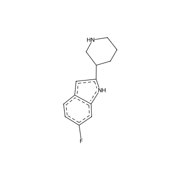 Fc1ccc2cc(C3CCCNC3)[nH]c2c1